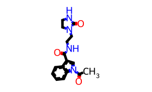 CC(=O)n1cc(C(=O)NCCN2CCNC2=O)c2ccccc21